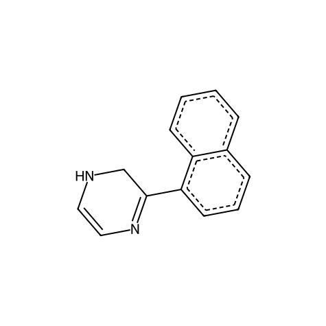 C1=CNCC(c2cccc3ccccc23)=N1